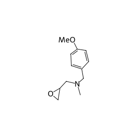 COc1ccc(CN(C)CC2CO2)cc1